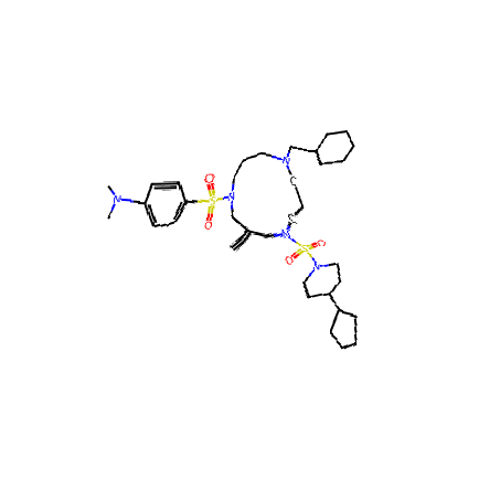 C=C1CN(S(=O)(=O)c2ccc(N(C)C)cc2)CCCN(CC2CCCCC2)CCCN(S(=O)(=O)N2CCC(C3CCCC3)CC2)C1